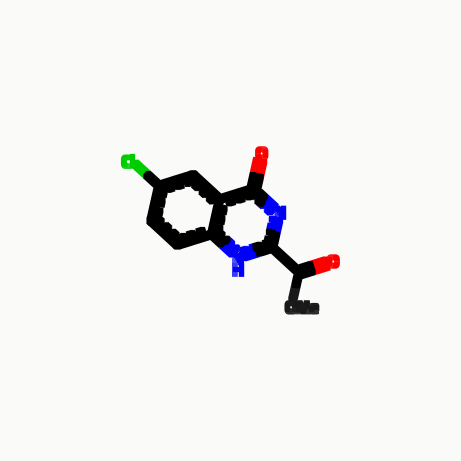 COC(=O)c1nc(=O)c2cc(Cl)ccc2[nH]1